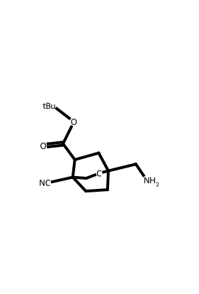 CC(C)(C)OC(=O)C1CC2(CN)CCC1(C#N)CC2